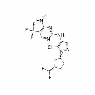 CNc1nc(Nc2cnn([C@H]3CC[C@@H](C(F)F)C3)c2Cl)ncc1C(F)(F)F